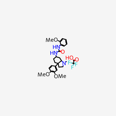 COc1ccccc1NC(=O)NC1CCC2(c3ccc(OC)c(OC)c3)CCN(C)C2C1.O=C(O)C(F)(F)F